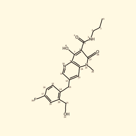 CCCNC(=O)c1c(O)c2ncc(Cc3ccc(F)cc3CO)cc2n(C)c1=O